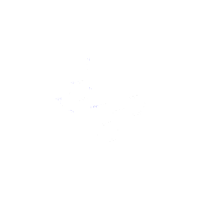 N#Cc1nc(NCC(c2ccccc2)c2ccccc2)c2nc[nH]c2n1